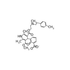 COC(=O)C1=C(C)NC(C)=C(C(=O)OCCN(C)CCc2ccc(C)cc2)C1c1cccc([N+](=O)[O-])c1F